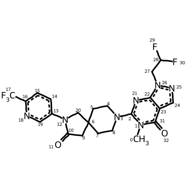 Cn1c(N2CCC3(CC2)CC(=O)N(c2ccc(C(F)(F)F)nc2)C3)nc2c(cnn2CC(F)F)c1=O